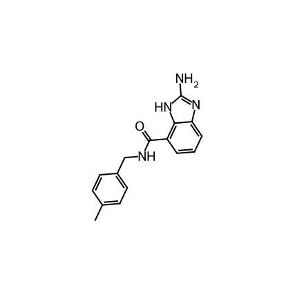 Cc1ccc(CNC(=O)c2cccc3nc(N)[nH]c23)cc1